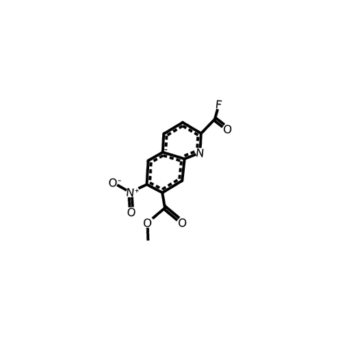 COC(=O)c1cc2nc(C(=O)F)ccc2cc1[N+](=O)[O-]